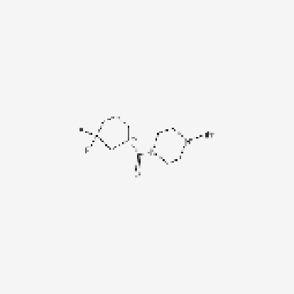 CC(C)N1CCN(C(=O)[C@H]2CCCC(F)(F)C2)CC1